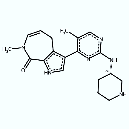 CN1C=CCc2c(-c3nc(N[C@H]4CCCNC4)ncc3C(F)(F)F)c[nH]c2C1=O